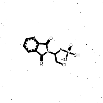 O=C1c2ccccc2C(=O)N1C(CCl)SP(=O)(O)S